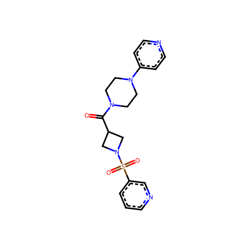 O=C(C1CN(S(=O)(=O)c2cccnc2)C1)N1CCN(c2ccncc2)CC1